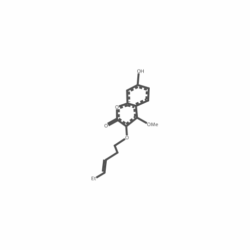 CCC=CCCOc1c(OC)c2ccc(O)cc2oc1=O